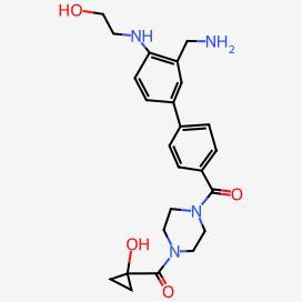 NCc1cc(-c2ccc(C(=O)N3CCN(C(=O)C4(O)CC4)CC3)cc2)ccc1NCCO